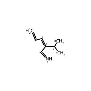 C=C/C=C(\C=N)C(C)C